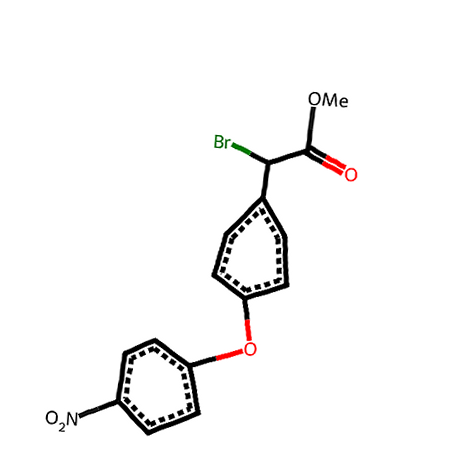 COC(=O)C(Br)c1ccc(Oc2ccc([N+](=O)[O-])cc2)cc1